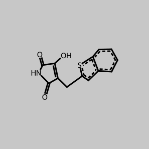 O=C1NC(=O)C(Cc2cc3ccccc3s2)=C1O